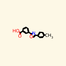 Cc1ccc(-c2coc(-c3cccc(C(=O)O)c3)n2)cc1